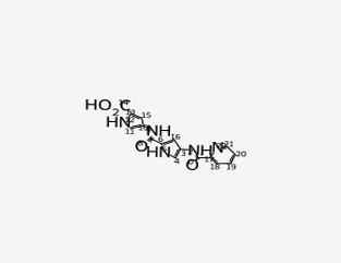 O=C(Nc1c[nH]c(C(=O)Nc2c[nH]c(C(=O)O)c2)c1)c1ccccn1